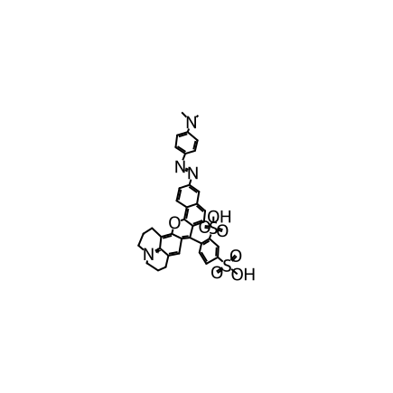 CN(C)c1ccc(/N=N/c2ccc3c4c(ccc3c2)C(c2ccc(S(=O)(=O)O)cc2S(=O)(=O)O)=c2cc3c5c(c2O4)CCC[N+]=5CCC3)cc1